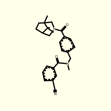 CN(Cc1ccc(C(=O)N2CC3CCC(C)(C2)C3(C)C)cc1)C(=O)c1cccc(C#N)c1